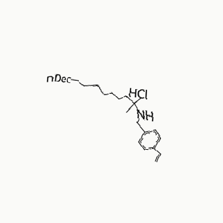 C=Cc1ccc(CNC(C)(C)CCCCCCCCCCCCCCCCC)cc1.Cl